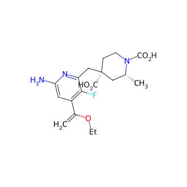 C=C(OCC)c1cc(N)nc(C[C@@]2(C(=O)O)CCN(C(=O)O)[C@H](C)C2)c1F